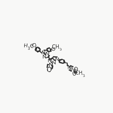 COc1ccc(CN(Cc2ccc(OC)cc2)c2ncc(-c3nc(N4CCOCC4)nc4c3CCN4c3ccc(CCN4CCN(S(C)(=O)=O)CC4)cc3)cn2)cc1